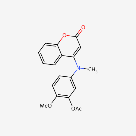 COc1ccc(N(C)c2cc(=O)oc3ccccc23)cc1OC(C)=O